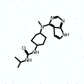 CC(C)NC(=O)NC1CCC(N(C)c2ncnc3[nH]ccc23)CC1